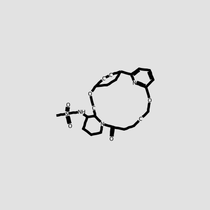 CS(=O)(=O)NC1CCCN2C(=O)CCCCOc3cccc(n3)C3CCC(CC3)OCC12